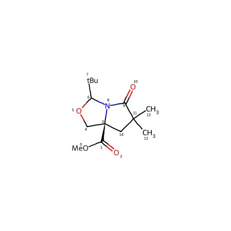 COC(=O)[C@@]12COC(C(C)(C)C)N1C(=O)C(C)(C)C2